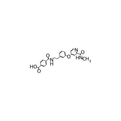 CNC(=O)c1cc(Oc2cccc(CCNC(=O)c3ccc(C(=O)O)cc3)c2)ccn1